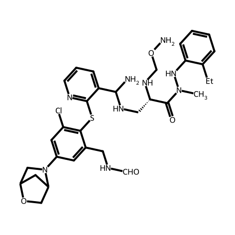 CCc1ccccc1NN(C)C(=O)[C@H](CNC(N)c1cccnc1Sc1c(Cl)cc(N2CC3CC2CO3)cc1CNC=O)NCON